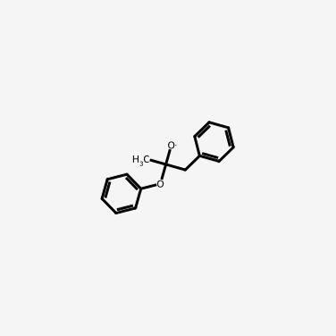 CC([O])(Cc1ccccc1)Oc1ccccc1